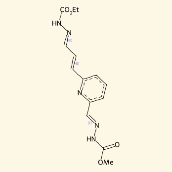 CCOC(=O)N/N=C/C=C/c1cccc(/C=N/NC(=O)OC)n1